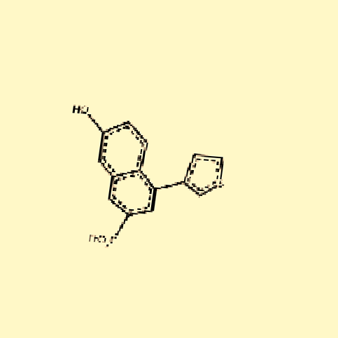 CCOC(=O)c1cc(-c2ccsc2)c2ccc(O)cc2c1